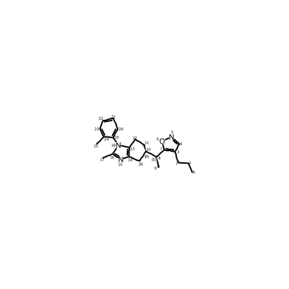 CCCc1cnoc1[C@@H](C)[C@@H]1CCc2c(nc(C)n2-c2ccccc2C)C1